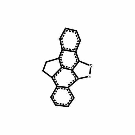 c1ccc2c3c4c(c5ccccc5c5c4c(c2c1)CC5)SS3